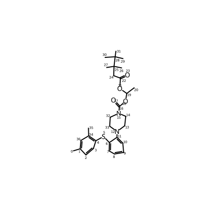 Cc1ccc(Sc2ccccc2N2CCN(C(=O)OC(C)OC(=O)CC(C)(C)C(C)(C)C)CC2)c(C)c1